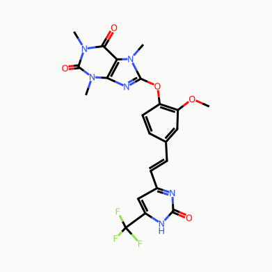 COc1cc(C=Cc2cc(C(F)(F)F)[nH]c(=O)n2)ccc1Oc1nc2c(c(=O)n(C)c(=O)n2C)n1C